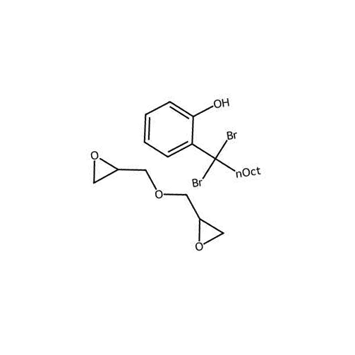 C(OCC1CO1)C1CO1.CCCCCCCCC(Br)(Br)c1ccccc1O